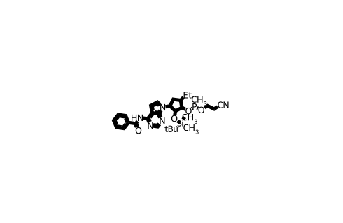 CCC1CC(n2ccc3c(NC(=O)c4ccccc4)ncnc32)C(O[Si](C)(C)C(C)(C)C)C1OP(C)OCCC#N